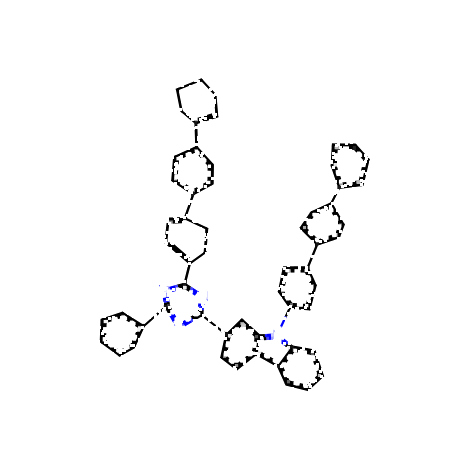 C1=C(c2ccc(C3=CC=C(c4nc(-c5ccccc5)nc(-c5ccc6c7ccccc7n(-c7ccc(-c8ccc(-c9ccccc9)cc8)cc7)c6c5)n4)CC3)cc2)CCCC1